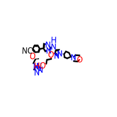 C[C@@H](Cn1cnnn1)Oc1cc(-c2cnc(Nc3cn([C@H]4CC[C@H](N5CCOCC5)CC4)nc3OCCCO)nc2)ccc1C#N